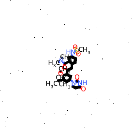 COc1c(C=Cc2ccc(NS(C)(=O)=O)cc2C(=O)N(C)C)cc(-n2ccc(=O)[nH]c2=O)cc1C(C)(C)C